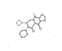 Cn1c2ccsc2c(=O)c2c(=O)n(-c3ccccc3)c(C3CCC3)cc21